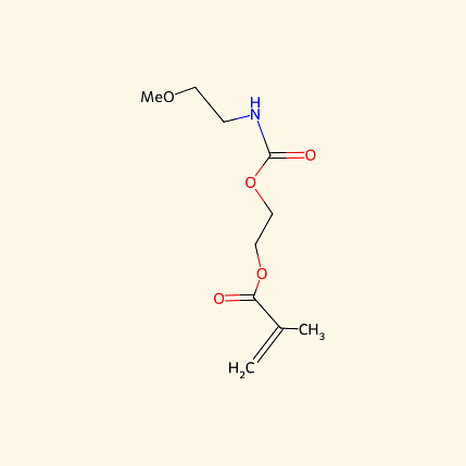 C=C(C)C(=O)OCCOC(=O)NCCOC